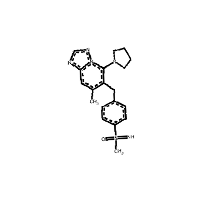 Cc1cc2ncnn2c(N2CCCC2)c1Cc1ccc(S(C)(=N)=O)cc1